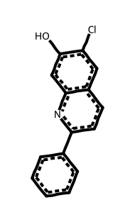 Oc1cc2nc(-c3ccccc3)ccc2cc1Cl